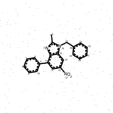 Cc1nc2c(-c3ccccc3)cc([N+](=O)[O-])cc2n1Cc1ccccc1